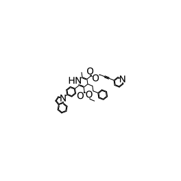 CCOC(=O)C1=C(c2ccc(-n3ccc4ccccc43)cc2)NC(C)=C(C(=O)OCC#Cc2cccnc2)C1CCc1ccccc1